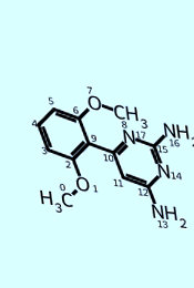 COc1cccc(OC)c1-c1cc(N)nc(N)n1